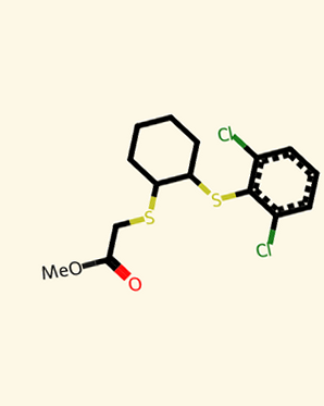 COC(=O)CSC1CCCCC1Sc1c(Cl)cccc1Cl